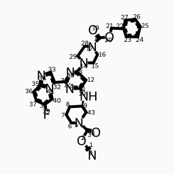 N#COC(=O)N1CCC[C@@H](Nc2cc(N3CCN(C(=O)OCc4ccccc4)CC3)nc(-c3cnc4ccc(F)cn34)n2)C1